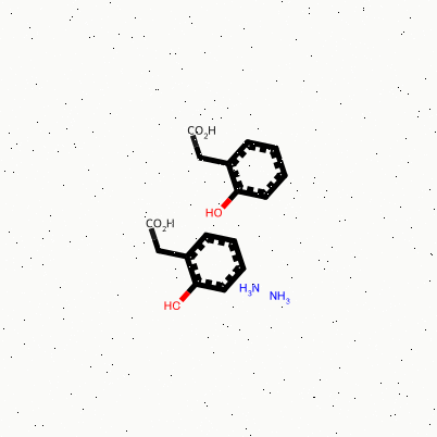 N.N.O=C(O)Cc1ccccc1O.O=C(O)Cc1ccccc1O